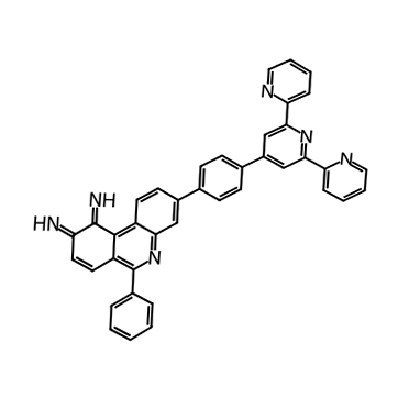 N=C1C=Cc2c(-c3ccccc3)nc3cc(-c4ccc(-c5cc(-c6ccccn6)nc(-c6ccccn6)c5)cc4)ccc3c2C1=N